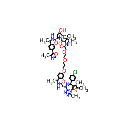 Cc1ncoc1-c1ccc([C@H](C)NC(=O)[C@@H]2C[C@@H](O)CN2C(=O)C(NC(=O)COCCOCCCOc2ccc([C@@H](C)NC(=O)C[C@@H]3N=C(c4ccc(Cl)cc4)c4c(sc(C)c4C)-n4c(C)nnc43)cc2)C(C)(C)C)cc1